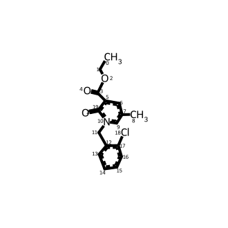 CCOC(=O)c1cc(C)cn(Cc2ccccc2Cl)c1=O